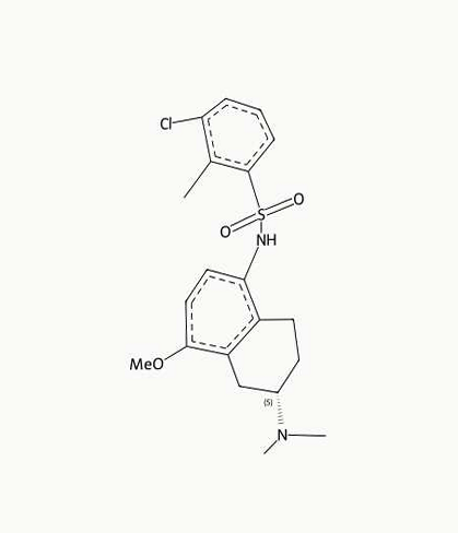 COc1ccc(NS(=O)(=O)c2cccc(Cl)c2C)c2c1C[C@@H](N(C)C)CC2